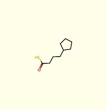 O=C(S)CCCC1CCCC1